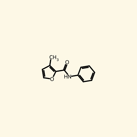 Cc1ccoc1C(=O)Nc1ccccc1